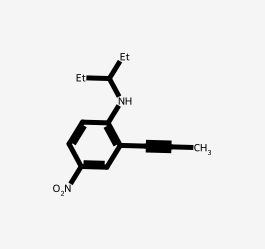 CC#Cc1cc([N+](=O)[O-])ccc1NC(CC)CC